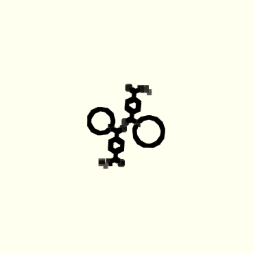 NC(=O)c1ccc(C(=O)N2CCCCCCCCCC2)cc1.NC(=O)c1ccc(C(=O)N2CCCCCCCCCCCC2)cc1